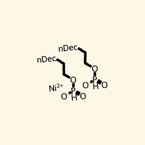 CCCCCCCCCCCCO[PH](=O)[O-].CCCCCCCCCCCCO[PH](=O)[O-].[Ni+2]